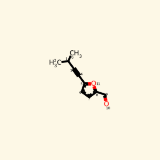 CC(C)C#Cc1ccc(C=O)o1